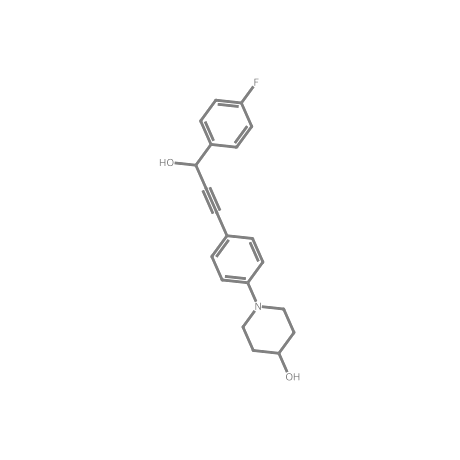 OC1CCN(c2ccc(C#CC(O)c3ccc(F)cc3)cc2)CC1